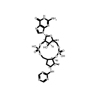 Nc1nc2c(ncn2[C@@H]2O[C@@H]3COP(=O)(O)O[C@@H]4C(COP(=O)(O)O[C@@H]2[C@@H]3O)C[C@@H](Nc2ncncn2)[C@@H]4F)c(=O)[nH]1